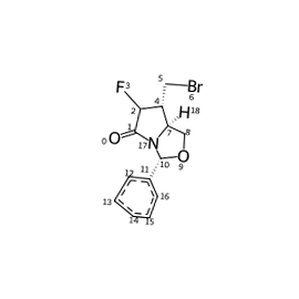 O=C1C(F)[C@H](CBr)[C@H]2CO[C@H](c3ccccc3)N12